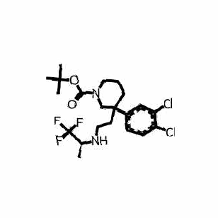 C[C@H](NCCC1(c2ccc(Cl)c(Cl)c2)CCCN(C(=O)OC(C)(C)C)C1)C(F)(F)F